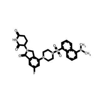 CN(C)c1cccc2c(S(=O)(=O)N3CCN(c4cc(F)cc5c4CN(C4CCC(=O)NC4=O)C5=O)CC3)cccc12